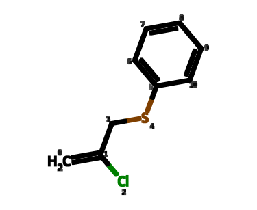 C=C(Cl)CSc1ccccc1